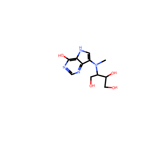 CN(c1c[nH]c2c(O)ncnc12)C(CO)C(O)CO